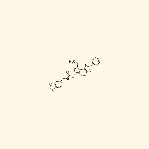 CSc1sc(OC(=O)NCc2ccc3c(c2)OCO3)c2c1-c1nc(-c3ccccc3)sc1CC2